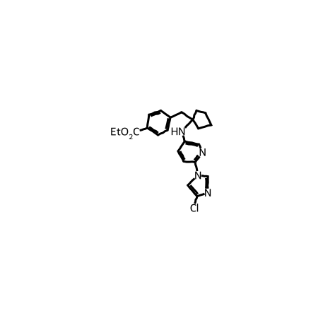 CCOC(=O)c1ccc(CC2(Nc3ccc(-n4cnc(Cl)c4)nc3)CCCC2)cc1